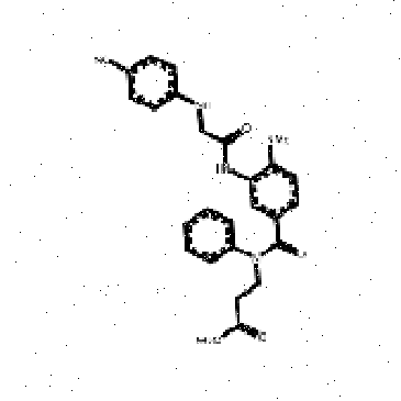 CNc1ccc(C(=O)N(CCC(=O)OC)c2ccccc2)cc1NC(=O)CNc1ccc(C#N)cc1